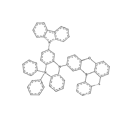 c1ccc([Si]2(c3ccccc3)c3ccccc3N(c3ccc4c(c3)B3c5ccccc5Sc5cccc(c53)O4)c3cc(-n4c5ccccc5c5ccccc54)ccc32)cc1